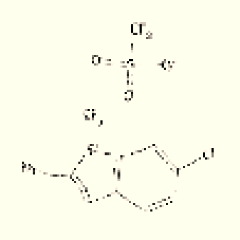 CC(C)c1cc2ccc(Cl)cc2[s+]1C(F)(F)F.O=S(=O)([O-])C(F)(F)F